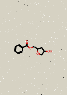 O=C(OCC1CC(O)CO1)c1ccccc1